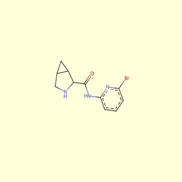 O=C(Nc1cccc(Br)n1)C1NCC2CC21